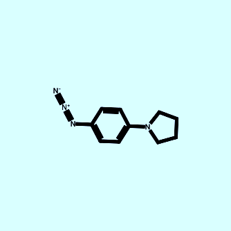 [N-]=[N+]=Nc1ccc(N2CCCC2)cc1